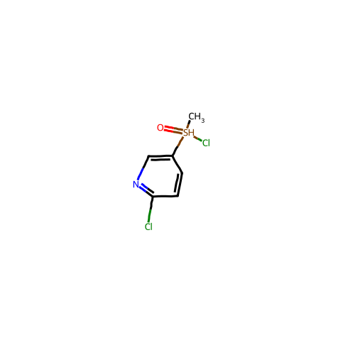 C[SH](=O)(Cl)c1ccc(Cl)nc1